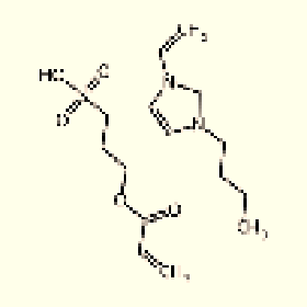 C=CC(=O)OCCCS(=O)(=O)O.C=CN1C=CN(CCCC)C1